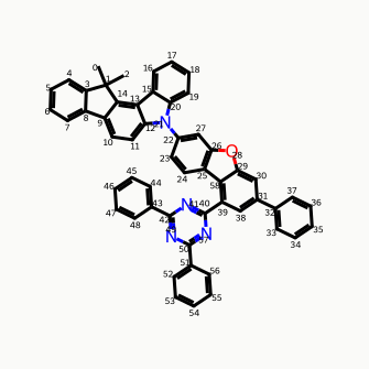 CC1(C)c2ccccc2-c2ccc3c(c21)c1ccccc1n3-c1ccc2c(c1)oc1cc(-c3ccccc3)cc(-c3nc(-c4ccccc4)nc(-c4ccccc4)n3)c12